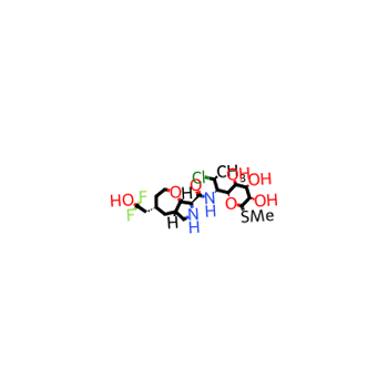 CSC1O[C@H]([C@H](NC(=O)[C@H]2NC[C@@H]3C[C@H](CC(O)(F)F)CCO[C@H]32)[C@H](C)Cl)C(O)[C@@H](O)[C@H]1O